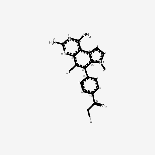 Cn1ccc2c3c(N)nc(N)nc3c(I)c(-c3ccc(C(=O)CI)cc3)c21